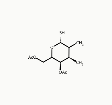 CC(=O)OCC1O[C@H](S)C(C)[C@@H](C)[C@H]1OC(C)=O